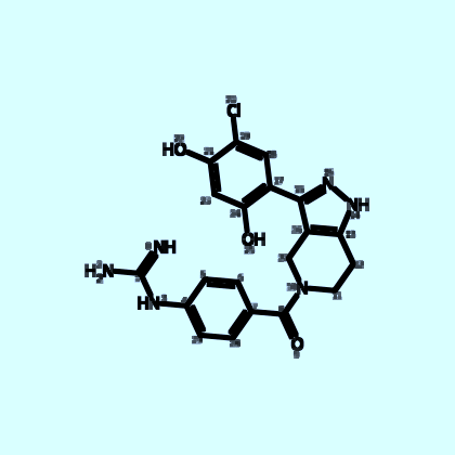 N=C(N)Nc1ccc(C(=O)N2CCc3[nH]nc(-c4cc(Cl)c(O)cc4O)c3C2)cc1